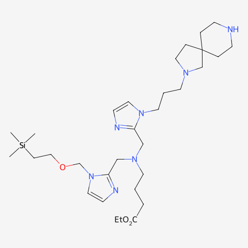 CCOC(=O)CCCN(Cc1nccn1CCCN1CCC2(CCNCC2)C1)Cc1nccn1COCC[Si](C)(C)C